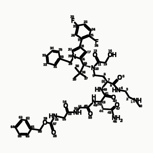 CNCCNC(=O)[C@H](CCN(C(=O)CO)[C@@H](c1cc(-c2cc(F)ccc2F)cn1Cc1ccccc1)C(C)(C)C)NC(=O)[C@H](CC(N)=O)NC(=O)CNC(=O)CNC(=O)OCc1ccccc1